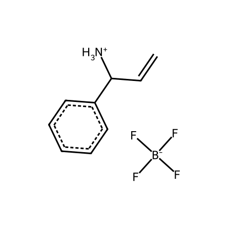 C=CC([NH3+])c1ccccc1.F[B-](F)(F)F